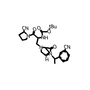 CC(c1cccc(C#N)c1)N1C(=O)C2C[C@H]1CN2CC(NC(=O)OC(C)(C)C)C(=O)N1CCCC1C#N